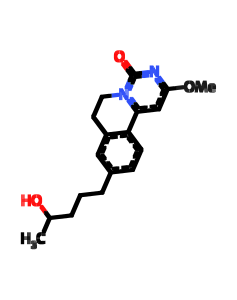 COc1cc2n(c(=O)n1)CCc1cc(CCCC(C)O)ccc1-2